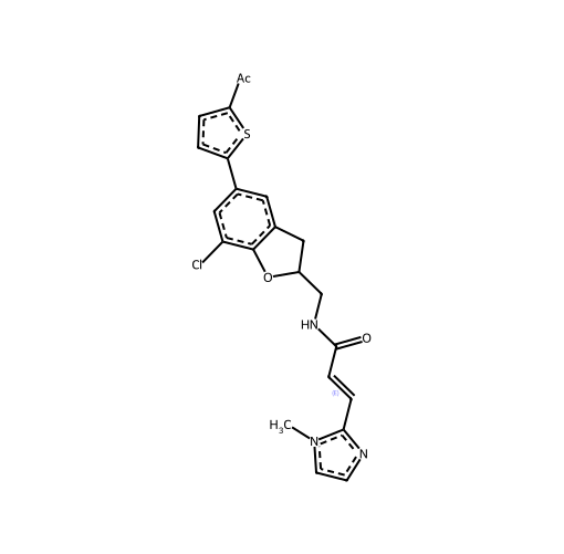 CC(=O)c1ccc(-c2cc(Cl)c3c(c2)CC(CNC(=O)/C=C/c2nccn2C)O3)s1